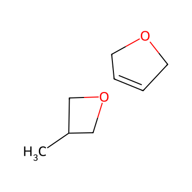 C1=CCOC1.CC1COC1